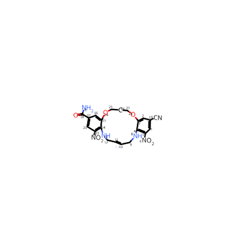 N#Cc1cc2c(c([N+](=O)[O-])c1)NC/C=C/CNc1c(cc(C(N)=O)cc1[N+](=O)[O-])OCCCO2